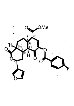 COC(=O)[C@@H]1C=C(OC(=O)c2ccc(F)cc2)C(=O)[C@H]2[C@@]1(C)CC[C@H]1C(=O)O[C@H](c3ccoc3)C[C@]21C